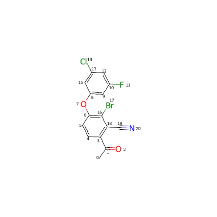 CC(=O)c1ccc(Oc2cc(F)cc(Cl)c2)c(Br)c1C#N